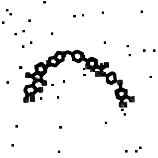 N#Cc1ccc(O[C@H]2CC[C@H](NC(=O)c3ccc(N4CCC(CN5CC6CN(c7ccc8c(c7)C(=O)N(C7CCC(=O)NC7=O)C8=O)CC6C5)CC4)nn3)CC2)cc1Cl